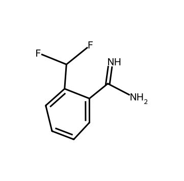 N=C(N)c1ccccc1C(F)F